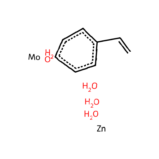 C=Cc1ccccc1.O.O.O.O.[Mo].[Zn]